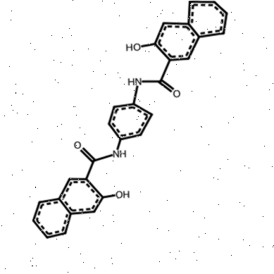 O=C(Nc1ccc(NC(=O)c2cc3ccccc3cc2O)cc1)c1cc2ccccc2cc1O